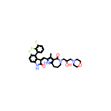 Cc1c(C=C2C(=O)Nc3ccc(F)c(-c4cccc(F)c4F)c32)[nH]c2c1C(=O)N(C[C@H](O)CN1CCOCC1)CCC2